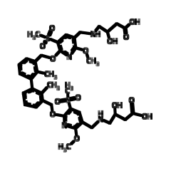 COc1nc(OCc2cccc(-c3cccc(COc4nc(OC)c(CNCC(O)CC(=O)O)cc4S(C)(=O)=O)c3C)c2C)c(S(C)(=O)=O)cc1CNCC(O)CC(=O)O